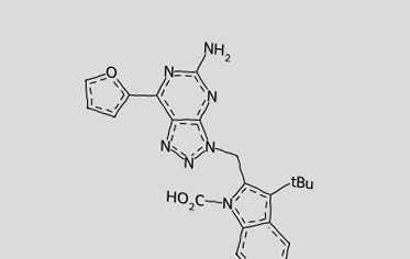 CC(C)(C)c1c(Cn2nnc3c(-c4ccco4)nc(N)nc32)n(C(=O)O)c2ccccc12